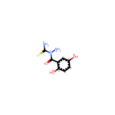 NC(=S)N(N)C(=O)c1cc(O)ccc1O